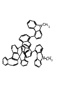 Cn1c2ccccc2c2c(-c3cccc4c(-c5cccc6c5C5(c7ccccc7-c7ccccc75)c5ccc7ccccc7c5-6)c5cccc(-c6cccc7c6c6ccccc6n7C)c5cc34)cccc21